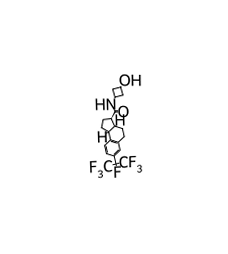 O=C(N[C@H]1C[C@H](O)C1)[C@@H]1CC[C@H]2c3ccc(C(F)(C(F)(F)F)C(F)(F)F)cc3CC[C@@H]12